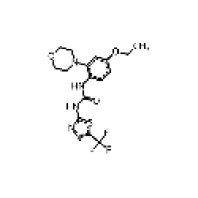 CCOc1ccc(NC(=O)Nc2nnc(C(F)(F)F)s2)c(N2CCOCC2)c1